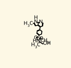 Cc1cc2c(C3=CC=C(S(=O)(=O)NC(C)(C)CO)CC3)ccnc2[nH]1